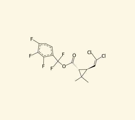 CC1(C)[C@H](C=C(Cl)Cl)[C@H]1C(=O)OC(F)(F)c1ccc(F)c(F)c1F